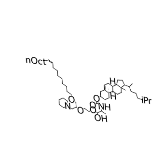 CCCCCCCC/C=C\CCCCCCCCOCC(CN1CCCCC1)OCCOC(O)C(C)NC(=O)OC1CC[C@@]2(C)C(=CCC3[C@@H]4CCC(C(C)CCCC(C)C)C4(C)CC[C@@H]32)C1